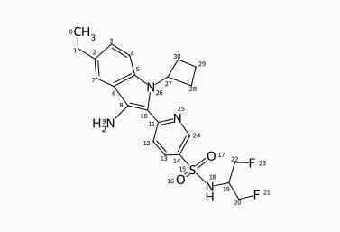 CCc1ccc2c(c1)c(N)c(-c1ccc(S(=O)(=O)NC(CF)CF)cn1)n2C1CCC1